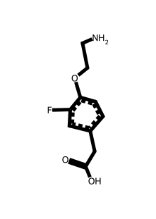 NCCOc1ccc(CC(=O)O)cc1F